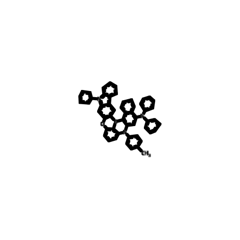 Cc1ccc(N2c3cccc4c3B(c3cc5c6ccccc6n(-c6ccccc6)c5cc3O4)c3c2cc(N(c2ccccc2)c2ccccc2)c2ccccc32)cc1